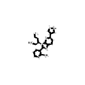 C=C/C=C(\C=C)n1c(-c2cccnc2N)nc2ccc(-c3cn[nH]c3)nc21